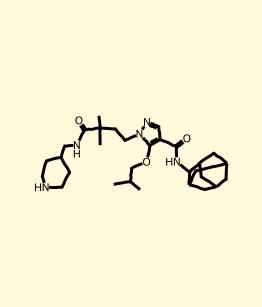 CC(C)COc1c(C(=O)NC2C3CC4CC(C3)CC2C4)cnn1CCC(C)(C)C(=O)NCC1CCNCC1